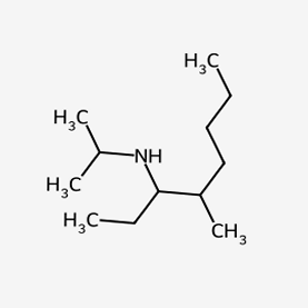 CCCCC(C)C(CC)NC(C)C